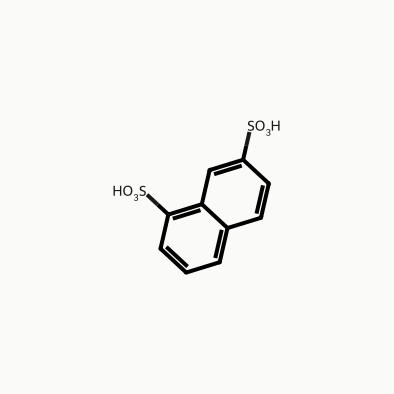 O=S(=O)(O)c1ccc2cccc(S(=O)(=O)O)c2c1